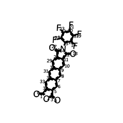 O=c1oc(=O)c2cc3cc4cc5c(=O)n(-c6c(F)c(F)c(F)c(F)c6F)c(=O)c5cc4cc3cc12